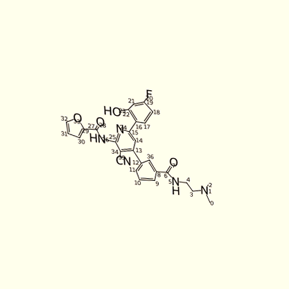 CN(C)CCNC(=O)c1cccc(-c2cc(-c3ccc(F)cc3O)nc(NC(=O)c3ccco3)c2C#N)c1